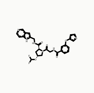 O=C(NCC(=O)N1C[C@H](OC(F)F)C[C@H]1C(=O)NCc1cc2cnccc2[nH]1)c1cccc(Oc2ccsc2)c1